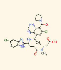 C=C(NC(CCC(=O)N(C)CCC(=O)O)c1nc2cc(Cl)ccc2[nH]1)c1cc(Cl)c(C(=O)N2CCCC2)cc1/N=C\N